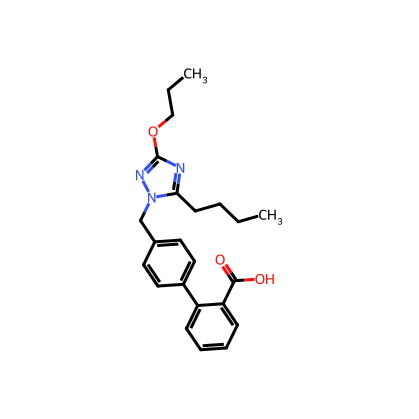 CCCCc1nc(OCCC)nn1Cc1ccc(-c2ccccc2C(=O)O)cc1